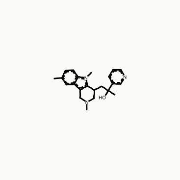 Cc1ccc2c(c1)c1c(n2C)C(CC(C)(O)c2cccnc2)CN(C)C1